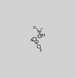 CCCN(CCC1CCC1)C1C=C(c2ccnc3cc(-c4ccc(SC)cc4)oc23)C=CN1